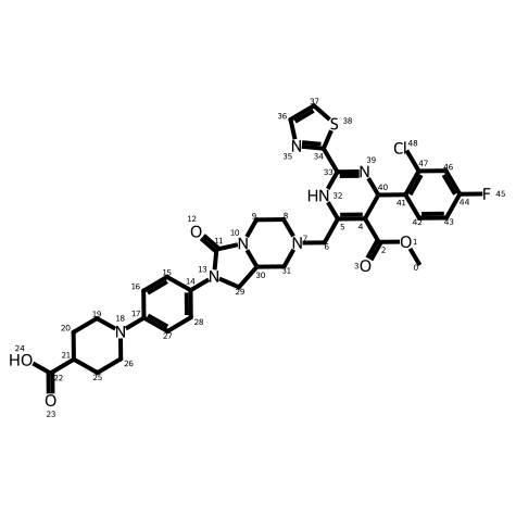 COC(=O)C1=C(CN2CCN3C(=O)N(c4ccc(N5CCC(C(=O)O)CC5)cc4)CC3C2)NC(c2nccs2)=NC1c1ccc(F)cc1Cl